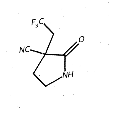 N#CC1(CC(F)(F)F)CCNC1=O